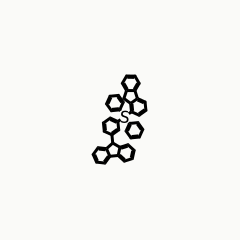 c1ccc(S(c2ccccc2)(c2cccc(C3c4ccccc4-c4ccccc43)c2)c2cccc3c2Cc2ccccc2-3)cc1